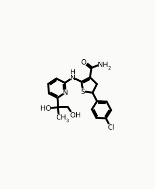 CC(O)(CO)c1cccc(NC2=C(C(N)=O)CC(c3ccc(Cl)cc3)S2)n1